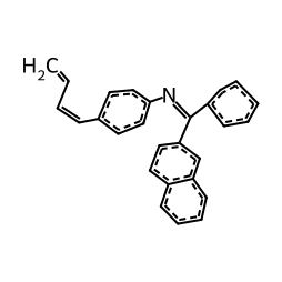 C=C/C=C\c1ccc(/N=C(/c2ccccc2)c2ccc3ccccc3c2)cc1